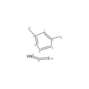 Cc1cccc(C)c1.N=C=S